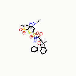 CCN[C@H]1C=C(S(=O)(=O)NC(=O)[C@H](C)O[Si](c2ccccc2)(c2ccccc2)C(C)(C)C)SC2=C1C[C@H](C)S2(=O)=O